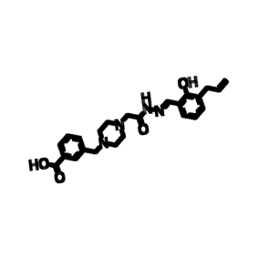 C=CCc1cccc(/C=N/NC(=O)CN2CCN(Cc3cccc(C(=O)O)c3)CC2)c1O